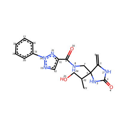 C=C1NC(=O)NC1(CNC(=O)c1cnn(-c2ccccc2)n1)C(C)CO